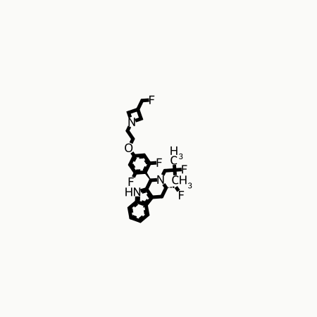 CC(C)(F)CN1[C@H](CF)Cc2c([nH]c3ccccc23)[C@H]1c1c(F)cc(OCCN2CC(CF)C2)cc1F